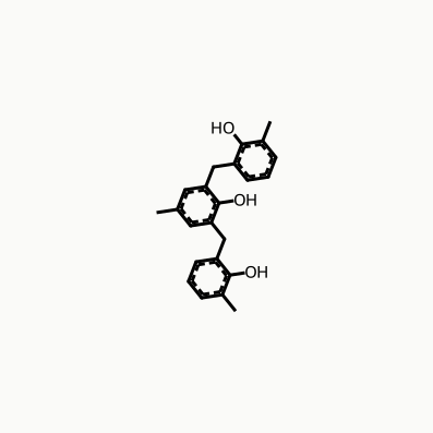 Cc1cc(Cc2cccc(C)c2O)c(O)c(Cc2cccc(C)c2O)c1